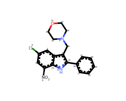 O=[N+]([O-])c1cc(Cl)cc2c(CN3CCOCC3)c(-c3ccccc3)[nH]c12